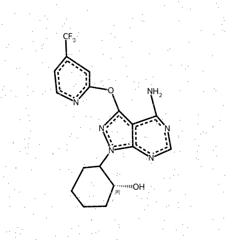 Nc1ncnc2c1c(Oc1cc(C(F)(F)F)ccn1)nn2C1CCCC[C@H]1O